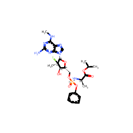 CNc1nc(N)nc2c1ncn2[C@@H]1O[C@H](CO[P@@](=O)(N[C@H](C)C(=O)OC(C)C)Oc2ccccc2)[C@@H](O)[C@@]1(C)F